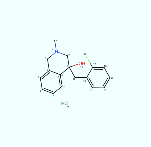 CN1Cc2ccccc2C(O)(Cc2ccccc2F)C1.Cl